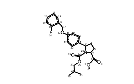 COC(=O)C1CCC(c2ccc(OCc3ccccc3F)cc2)N1C(=O)OCC(C)C